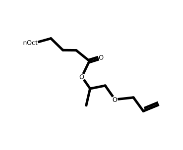 C=CCOCC(C)OC(=O)CCCCCCCCCCC